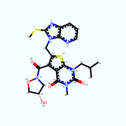 CSc1nc2cccnc2n1Cc1sc2c(c1C(=O)N1C[C@H](O)CO1)c(=O)n(C)c(=O)n2CC(C)C